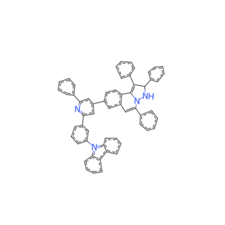 C1=C(c2ccccc2)N2NC(c3ccccc3)C(c3ccccc3)=C2c2ccc(-c3cc(-c4ccccc4)nc(-c4cccc(-n5c6ccccc6c6ccccc65)c4)c3)cc21